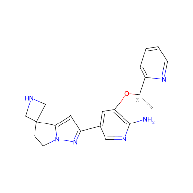 C[C@H](Oc1cc(-c2cc3n(n2)CCC32CNC2)cnc1N)c1ccccn1